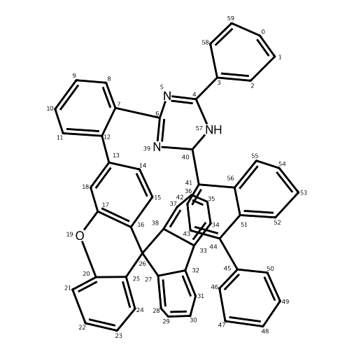 c1ccc(C2=NC(c3ccccc3-c3ccc4c(c3)Oc3ccccc3C43c4ccccc4-c4ccccc43)=NC(c3ccc(-c4ccccc4)c4ccccc34)N2)cc1